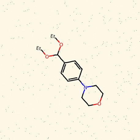 CCOC(OCC)c1ccc(N2CCOCC2)cc1